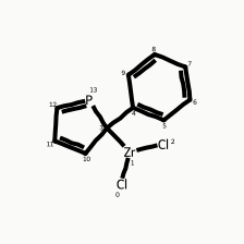 [Cl][Zr]([Cl])[C]1(c2ccccc2)C=CC=P1